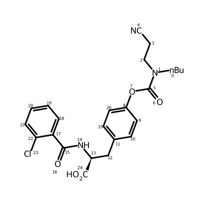 CCCCN(CCC#N)C(=O)Oc1ccc(C[C@H](NC(=O)c2ccccc2Cl)C(=O)O)cc1